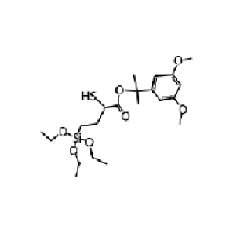 CCO[Si](CCC(S)C(=O)OC(C)(C)c1cc(OC)cc(OC)c1)(OCC)OCC